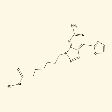 Nc1nc(-c2ccco2)c2cnn(CCCCCCC(=O)NO)c2n1